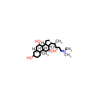 C[C@H](CCCN(C)C)[C@H]1CC[C@H]2[C@@H]3[C@H](O)C[C@@H]4C[C@H](O)CC[C@]4(C)[C@H]3C[C@H](O)[C@]12C